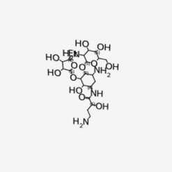 CC[C@H]1O[C@@H](OC2C(O)[C@H](NC(=O)[C@@H](O)CCN)CC(N)[C@H]2O[C@H]2OC(CO)[C@@H](O)C(O)C2N)C(O)C1O